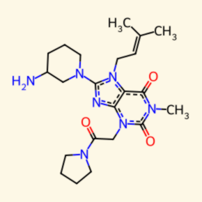 CC(C)=CCn1c(N2CCCC(N)C2)nc2c1c(=O)n(C)c(=O)n2CC(=O)N1CCCC1